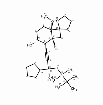 CO[C@]12CC[C@@H](O)[C@H](C#C[C@@](C)(O[Si](C)(C)C(C)(C)C)C3CCCC3)[C@H]1CC21OCCO1